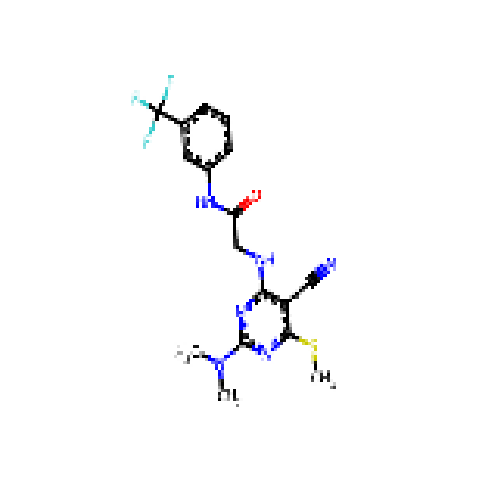 CSc1nc(N(C)C)nc(NCC(=O)Nc2cccc(C(F)(F)F)c2)c1C#N